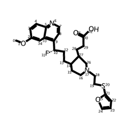 COc1ccc2nccc([C@@H](F)CCC3CCN(CCSc4ccco4)CC3CCC(=O)O)c2c1